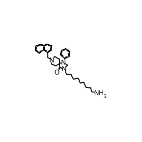 NCCCCCCCCCN1CN(c2ccccc2)C2(CCN(Cc3cccc4ccccc34)CC2)C1=O